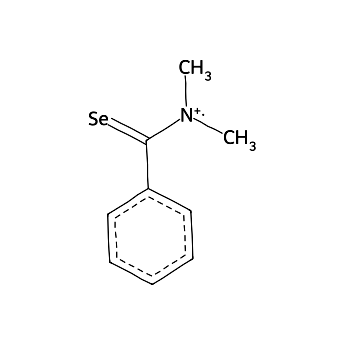 C[N+](C)C(=[Se])c1ccccc1